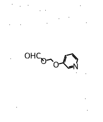 O=COCOc1cccnc1